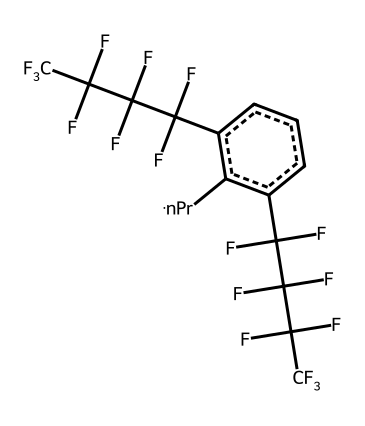 CC[CH]c1c(C(F)(F)C(F)(F)C(F)(F)C(F)(F)F)cccc1C(F)(F)C(F)(F)C(F)(F)C(F)(F)F